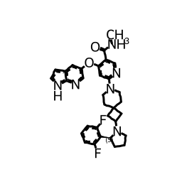 CNC(=O)c1cnc(N2CCC3(CC2)CC(N2CCC[C@H]2c2c(F)cccc2F)C3)cc1Oc1cnc2[nH]ccc2c1